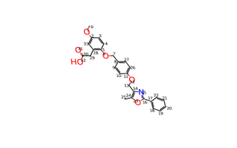 COc1ccc(OCc2ccc(OCc3nc(-c4ccccc4)oc3C)cc2)c(CC(=O)O)c1